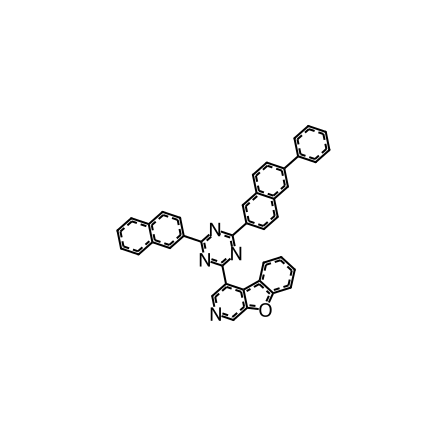 c1ccc(-c2ccc3cc(-c4nc(-c5ccc6ccccc6c5)nc(-c5cncc6oc7ccccc7c56)n4)ccc3c2)cc1